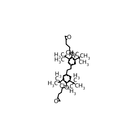 CC(C)(C)c1cc(CCc2cc(C(C)(C)C)c(OCCCC3CO3)c(C(C)(C)C)c2)cc(C(C)(C)C)c1OCCCC1CO1